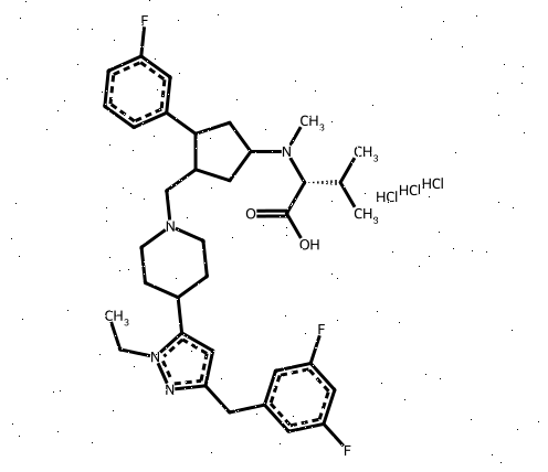 CCn1nc(Cc2cc(F)cc(F)c2)cc1C1CCN(CC2CC(N(C)[C@@H](C(=O)O)C(C)C)CC2c2cccc(F)c2)CC1.Cl.Cl.Cl